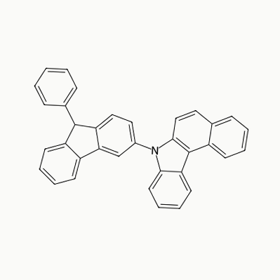 c1ccc(C2c3ccccc3-c3cc(-n4c5ccccc5c5c6ccccc6ccc54)ccc32)cc1